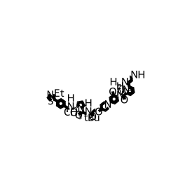 CCc1ncsc1-c1ccc([C@H](C)NC(=O)[C@@H]2CCCN2C(=O)[C@@H](NC(=O)COC2CCN(c3ccc(NC(=O)c4cccc(/C(N)=C/C=N)n4)c(OC)c3)CC2)C(C)(C)C)cc1